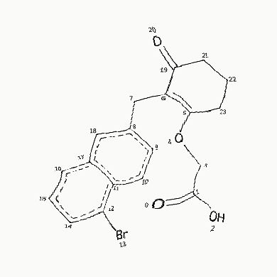 O=C(O)COC1=C(Cc2ccc3c(Br)cccc3c2)C(=O)CCC1